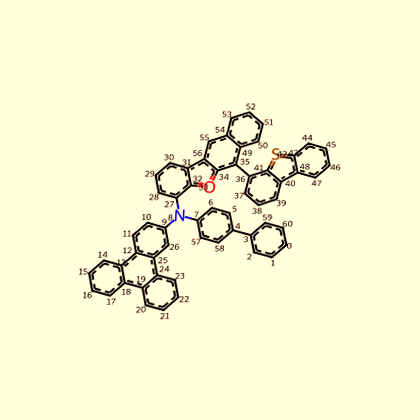 c1ccc(-c2ccc(N(c3ccc4c5ccccc5c5ccccc5c4c3)c3cccc4c3oc3c(-c5cccc6c5sc5ccccc56)c5ccccc5cc34)cc2)cc1